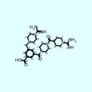 N=C(N)N1CCC(C(=O)N2CCN(C(=O)c3cc(CN4CCN(C(=N)N)CC4)cc(C(=O)O)c3)CC2)CC1